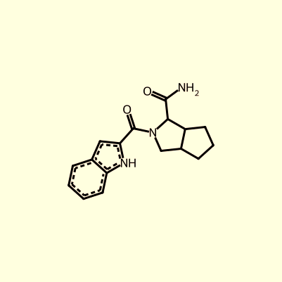 NC(=O)C1C2CCCC2CN1C(=O)c1cc2ccccc2[nH]1